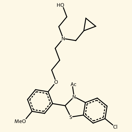 COc1ccc(OCCCN(CCO)CC2CC2)c(C2Sc3cc(Cl)ccc3N2C(C)=O)c1